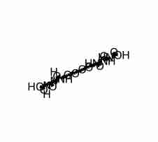 O=C(O)CNCC(=O)NCC(=O)NCCOCCOCCOCCOCCNC(=O)CNC(=O)CNCC(=O)O